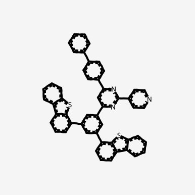 c1ccc(-c2ccc(-c3cc(-c4cc(-c5cccc6c5sc5ccccc56)cc(-c5cccc6c5sc5ccccc56)c4)nc(-c4ccncc4)n3)cc2)cc1